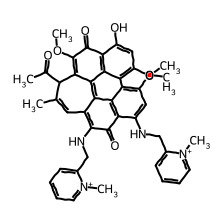 COc1c2c3c4c(c(NCc5cccc[n+]5C)c(=O)c5c(NCc6cccc[n+]6C)cc(OC)c(c6c(OC)cc(O)c(c1=O)c63)c54)C=C(C)C2C(C)=O